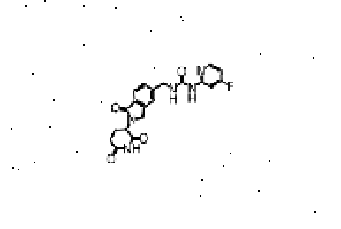 O=C1CCC(N2Cc3cc(CNC(=O)Nc4cc(F)ccn4)ccc3C2=O)C(=O)N1